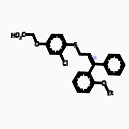 CCOc1ccccc1/C(=C\CSc1ccc(OCC(=O)O)cc1Cl)c1ccccc1